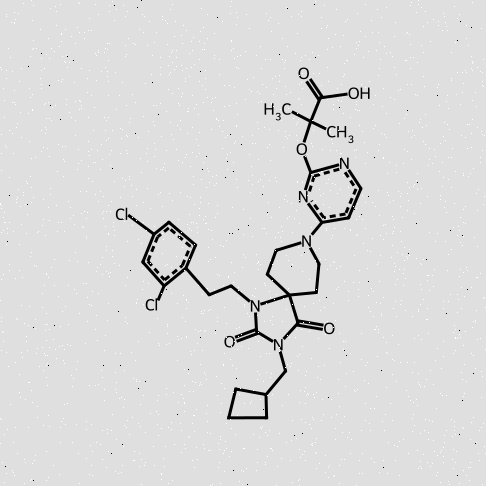 CC(C)(Oc1nccc(N2CCC3(CC2)C(=O)N(CC2CCC2)C(=O)N3CCc2ccc(Cl)cc2Cl)n1)C(=O)O